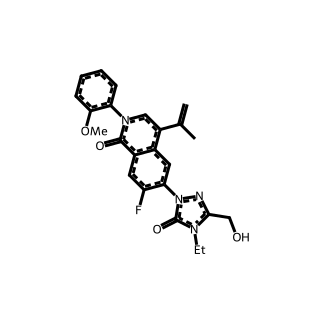 C=C(C)c1cn(-c2ccccc2OC)c(=O)c2cc(F)c(-n3nc(CO)n(CC)c3=O)cc12